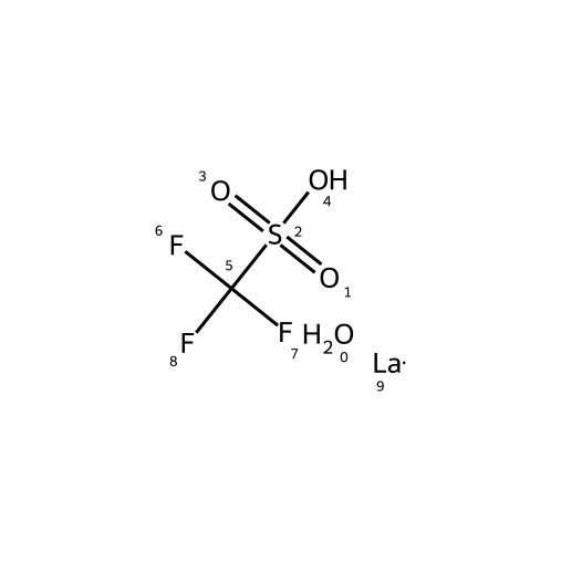 O.O=S(=O)(O)C(F)(F)F.[La]